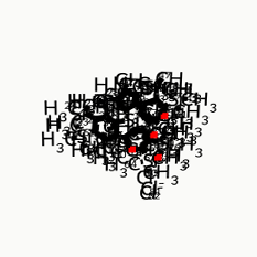 CC1=C(C)[C]([Ti+3])([Si](c2c([Si](C)(C)C)c(C)c([Si](C)(C)C)c([Si](C)(C)C)c2[Si](C)(C)C)(c2c([Si](C)(C)C)c(C)c([Si](C)(C)C)c([Si](C)(C)C)c2[Si](C)(C)C)c2c([Si](C)(C)C)c(C)c([Si](C)(C)C)c([Si](C)(C)C)c2[Si](C)(C)C)C(C)=C1C.[Cl-].[Cl-].[Cl-]